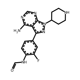 Nc1ncnc2c1c(-c1ccc(NC=O)c(F)c1)nn2C1CCNCC1